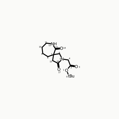 CC(C)(C)OC(=O)CN1CC2(CCCCNC2=O)CC1=O